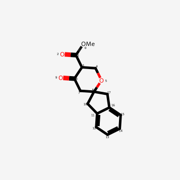 COC(=O)C1COC2(CC1=O)Cc1ccccc1C2